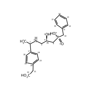 CC(NC[C@@H](O)CP(=O)(O)Cc1ccccc1)c1ccc(CC(=O)O)cc1